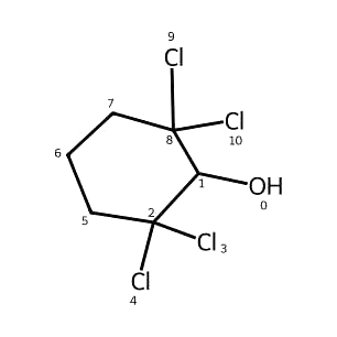 OC1C(Cl)(Cl)CCCC1(Cl)Cl